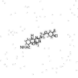 CC(=O)Nc1cccc(Nc2ncnc(N3CC(Oc4ccc(Cl)c(F)c4)C3)n2)c1C